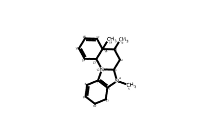 CC1CC2N(C)C3=C(C=CCC3)N2C2C=CC=CC12C